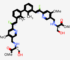 COC(=O)[C@@H](CO)NCc1cnc(/C(F)=C/c2cccc(-c3cccc(/C=C(\F)c4cc(OC)c(CN[C@H](CO)C(=O)OC)cn4)c3C)c2C)cc1OC